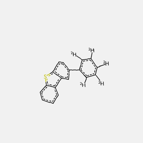 [2H]c1c([2H])c([2H])c(-c2ccc3sc4ccccc4c3c2)c([2H])c1[2H]